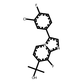 CC(C)(O)c1ccn2c(-c3ccc(F)c(Cl)c3)cnc2c1F